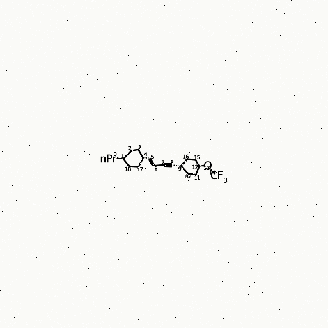 CCC[C@H]1CC[C@H](C=CC#C[C@H]2CC[C@H](OC(F)(F)F)CC2)CC1